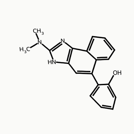 CN(C)c1nc2c(cc(-c3ccccc3O)c3ccccc32)[nH]1